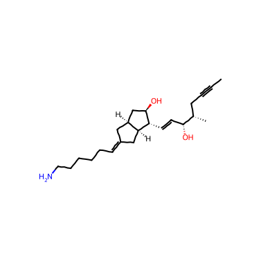 CC#CC[C@H](C)[C@H](O)/C=C/[C@@H]1[C@H]2C/C(=C/CCCCCN)C[C@H]2C[C@H]1O